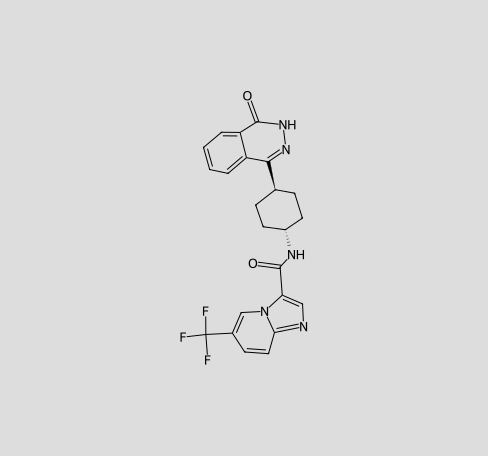 O=C(N[C@H]1CC[C@H](c2n[nH]c(=O)c3ccccc32)CC1)c1cnc2ccc(C(F)(F)F)cn12